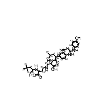 COc1ccc(NC(=NC#N)Nc2ccc(C(CC(C)C)C(=O)NC(CNCCC(NC(=O)CC(C)(C)C)C(=O)O)C(=O)O)cc2)cc1